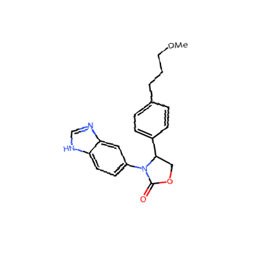 COCCCc1ccc(C2COC(=O)N2c2ccc3[nH]cnc3c2)cc1